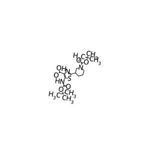 CC(C)(C)OC(=O)Nc1sc(C2CCCN(C(=O)OC(C)(C)C)C2)nc1C(=O)O